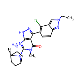 CCn1cc2c(Cl)c(-c3n[nH]c4nc(N5C6CC[C@@H]5[C@H](N)C6)n(C)c(=O)c34)ccc2n1